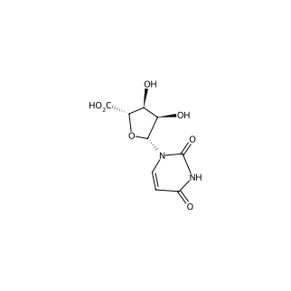 O=C(O)[C@H]1O[C@@H](n2ccc(=O)[nH]c2=O)[C@H](O)[C@@H]1O